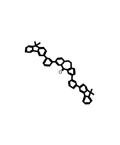 CC1(C)c2ccccc2-c2cc(-c3cccc(C4=CC5C(=O)c6cc(-c7cccc(-c8ccc9c(c8)-c8ccccc8C9(C)C)c7)ccc6CCC5C=C4)c3)ccc21